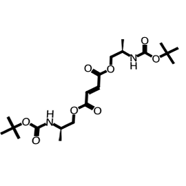 C[C@H](COC(=O)/C=C/C(=O)OC[C@@H](C)NC(=O)OC(C)(C)C)NC(=O)OC(C)(C)C